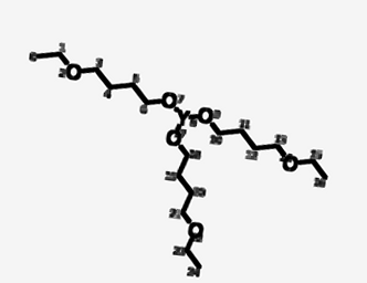 CCOCCCC[O][Y]([O]CCCCOCC)[O]CCCCOCC